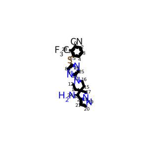 N#Cc1cccc(Sc2cnc(N3CCC4(CC3)Cn3nccc3[C@H]4N)cn2)c1C(F)(F)F